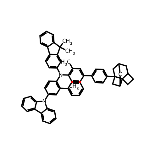 Cc1cc(-c2ccc(C34CC5CC6CCC63C(C5)C4)cc2)cc(C)c1N(c1ccc2c(c1)C(C)(C)c1ccccc1-2)c1ccc(-n2c3ccccc3c3ccccc32)cc1-c1ccccc1